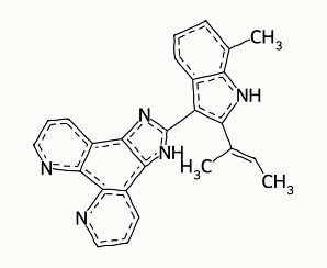 C/C=C(\C)c1[nH]c2c(C)cccc2c1-c1nc2c3cccnc3c3ncccc3c2[nH]1